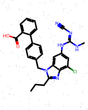 CCCc1nc2c(Cl)cc(N/C(=N\C#N)NC)cc2n1Cc1ccc(-c2ccccc2C(=O)O)cc1